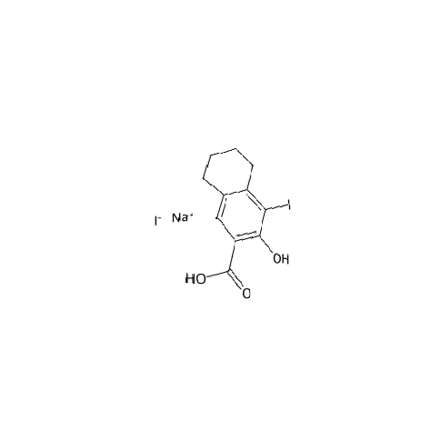 O=C(O)c1cc2c(c(I)c1O)CCCC2.[I-].[Na+]